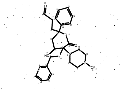 CN1CCN(C2(SCc3ccccc3)C(=O)OC(CCC=O)(c3ccccc3)CC2O)CC1